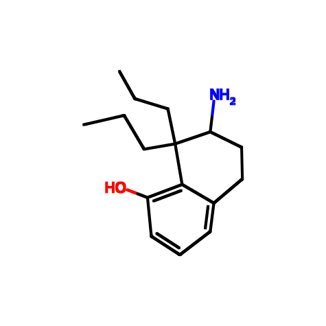 CCCC1(CCC)c2c(O)cccc2CCC1N